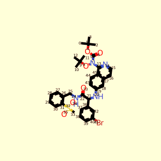 CC(C)(C)OC(=O)N(OC(C)(C)C)c1nccc2cc(NC(C(=O)NCc3ccccc3S(C)(=O)=O)c3cccc(Br)c3)ccc12